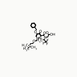 CC(N(CC(=O)O)C(=O)c1nn(COCC[Si](C)(C)C)cc(OCc2ccccc2)c1=O)C(F)(F)F